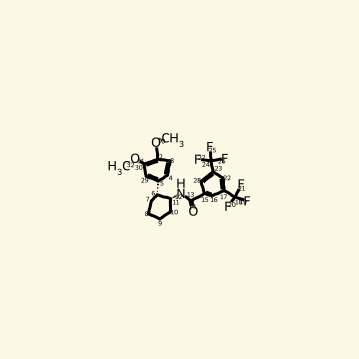 COc1ccc([C@H]2CCCC[C@H]2NC(=O)c2cc(C(F)(F)F)cc(C(F)(F)F)c2)cc1OC